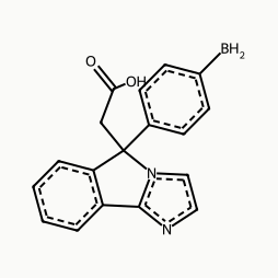 Bc1ccc(C2(CC(=O)O)c3ccccc3-c3nccn32)cc1